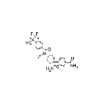 C[C@](O)(c1ccc(C(=O)N(C2CC2)[C@H]2CC[C@](C(N)=O)(c3ccc(C(N)=O)cc3)CC2)cc1)C(F)(F)F